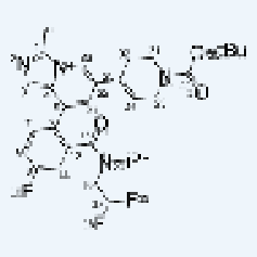 Cc1ncc2c(-c3ccc(F)cc3C(=O)N(CC(F)F)C(C)C)cc(C3=CCN(C(=O)OC(C)(C)C)CC3)cn12